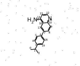 CC(C)c1ccc(-c2ccc3nccc(N)c3c2)cc1